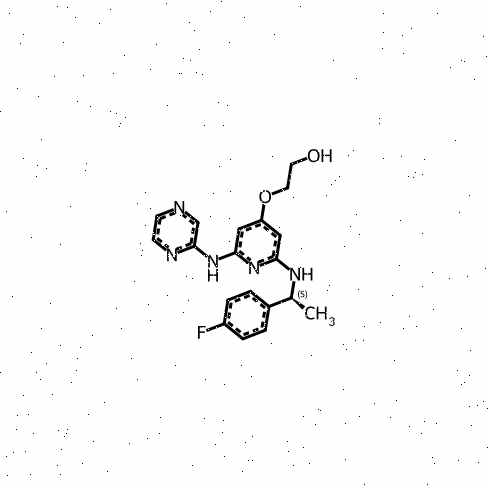 C[C@H](Nc1cc(OCCO)cc(Nc2cnccn2)n1)c1ccc(F)cc1